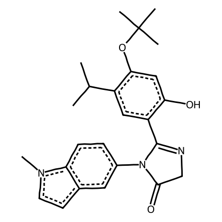 CC(C)c1cc(C2=NCC(=O)N2c2ccc3c(ccn3C)c2)c(O)cc1OC(C)(C)C